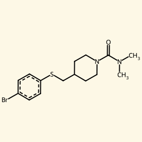 CN(C)C(=O)N1CCC(CSc2ccc(Br)cc2)CC1